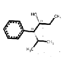 CC[C@@H](O)[C@@H](c1ccccc1)C(C)C